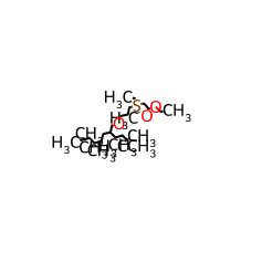 CCOC(=O)CS(CC)(CC)CCCOCC(CCC(C)CC(C)(C)C)C(C)CC(C)(C)C